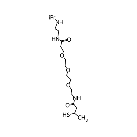 CC(S)CC(=O)NCCOCCOCCOCCC(=O)NCCNC(C)C